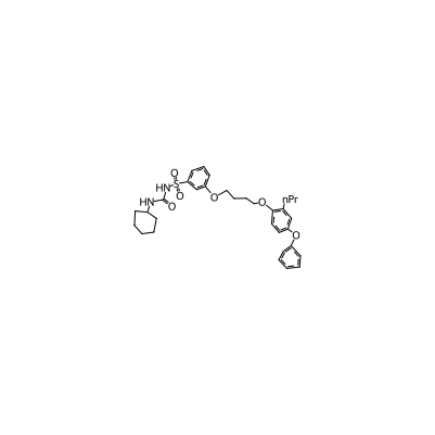 CCCc1cc(Oc2ccccc2)ccc1OCCCCOc1cccc(S(=O)(=O)NC(=O)NC2CCCCC2)c1